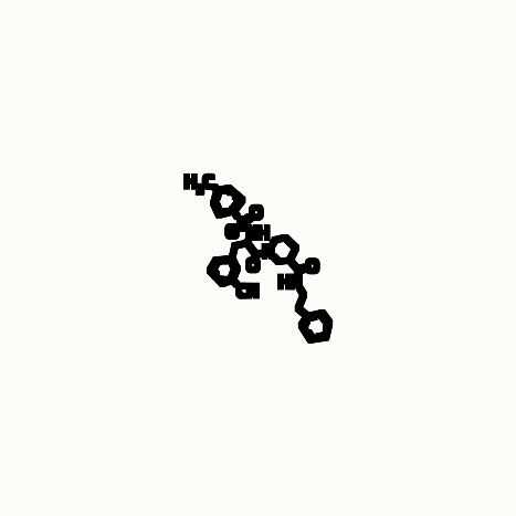 Cc1ccc(S(=O)(=O)NC(Cc2cccc(C#N)c2)C(=O)N2CCCC(C(=O)NCCc3ccccc3)C2)cc1